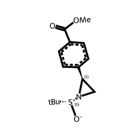 COC(=O)c1ccc([C@H]2CN2[S@+]([O-])C(C)(C)C)cc1